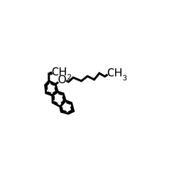 C=Cc1ccc2cc3ccccc3cc2c1OCCCCCCCC